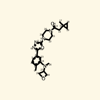 Cc1ccc(-c2nnc(N3CCN(C(=O)CC4(C)CC4)CC3)o2)cc1N(C)C1COC1